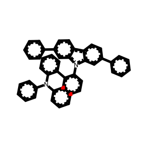 c1ccc(-c2ccc3c4ccc(-c5ccccc5)cc4n(-c4ccccc4-c4ccccc4N(c4ccccc4)c4ccccc4)c3c2)cc1